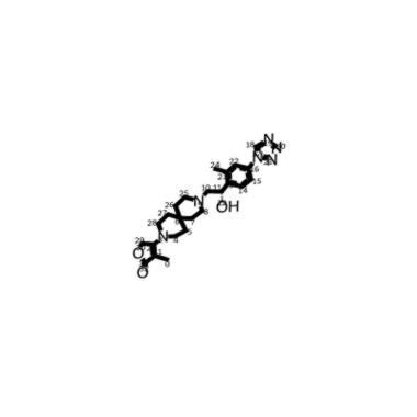 CC1=C(N2CCC3(CCN(C[C@@H](O)c4ccc(-n5cnnn5)cc4C)CC3)CC2)COC1=O